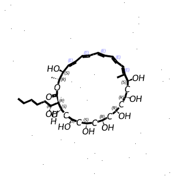 CCCCC[C@@H](O)[C@H]1C(=O)O[C@H](C)[C@@H](O)/C=C/C=C/C=C/C=C/C=C(\C)[C@@H](O)C[C@H](O)C[C@H](O)C[C@H](O)C[C@H](O)C[C@H](O)C[C@@H]1O